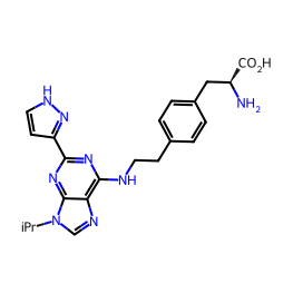 CC(C)n1cnc2c(NCCc3ccc(C[C@H](N)C(=O)O)cc3)nc(-c3cc[nH]n3)nc21